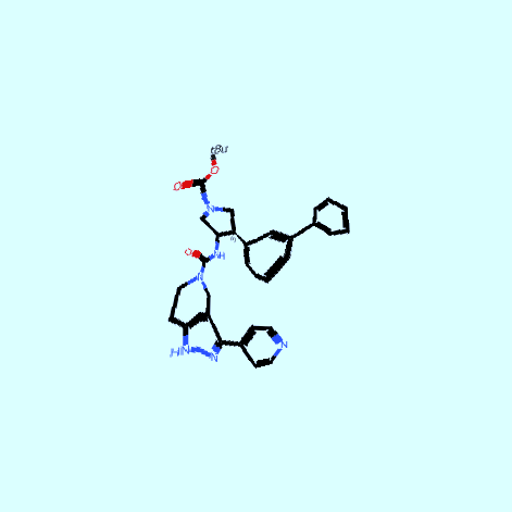 CC(C)(C)OC(=O)N1CC(NC(=O)N2CCc3[nH]nc(-c4ccncc4)c3C2)[C@H](c2cccc(-c3ccccc3)c2)C1